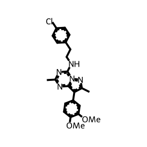 COc1ccc(-c2c(C)nn3c(NCCc4ccc(Cl)cc4)nc(C)nc23)cc1OC